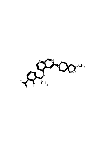 C[C@H]1CC2(CCN(c3cc4c(N[C@H](C)c5cccc(C(F)F)c5F)ccnc4cn3)CC2)CO1